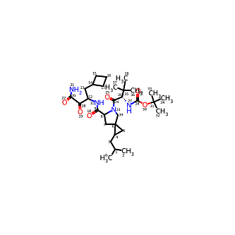 CC(C)CC1CC12CC(C(=O)NC(CC1CCC1)C(=O)C(N)=O)N(C(=O)[C@@H](NC(=O)OC(C)(C)C)C(C)(C)C)C2